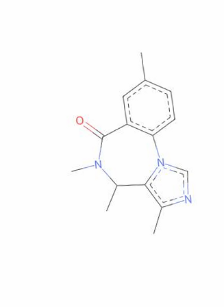 Cc1ccc2c(c1)C(=O)N(C)C(C)c1c(C)ncn1-2